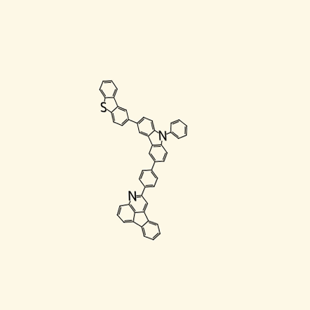 c1ccc(-n2c3ccc(-c4ccc(-c5cc6c7c(cccc7n5)-c5ccccc5-6)cc4)cc3c3cc(-c4ccc5sc6ccccc6c5c4)ccc32)cc1